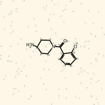 NC1CCN(C(=O)c2ccccc2Cl)CC1